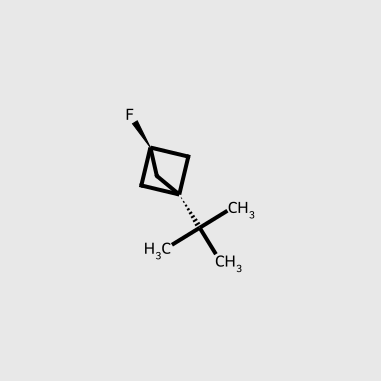 CC(C)(C)[C@]12C[C@@](F)(C1)C2